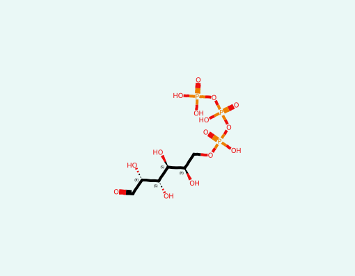 O=C[C@H](O)[C@@H](O)[C@@H](O)[C@H](O)COP(=O)(O)OP(=O)(O)OP(=O)(O)O